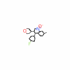 Cc1ccc2c(-c3ccc(F)cc3)c(C3=CCOCC3)c[n+]([O-])c2c1